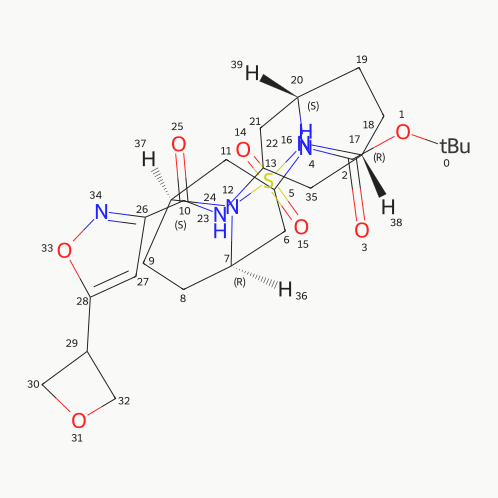 CC(C)(C)OC(=O)NC1C[C@H]2CC[C@@H](C1)N2S(=O)(=O)N1[C@@H]2CC[C@H]1CC(NC(=O)c1cc(C3COC3)on1)C2